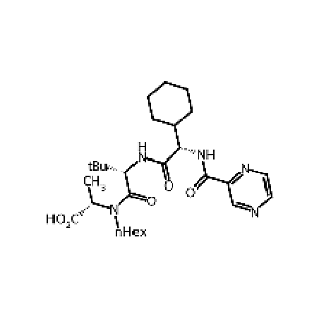 CCCCCCN(C(=O)[C@@H](NC(=O)[C@@H](NC(=O)c1cnccn1)C1CCCCC1)C(C)(C)C)[C@@H](C)C(=O)O